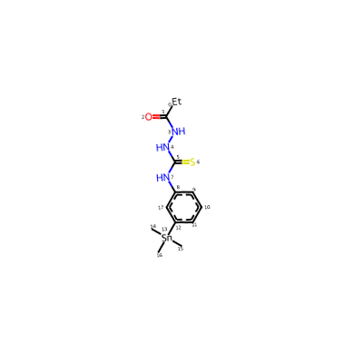 CCC(=O)NNC(=S)Nc1ccc[c]([Sn]([CH3])([CH3])[CH3])c1